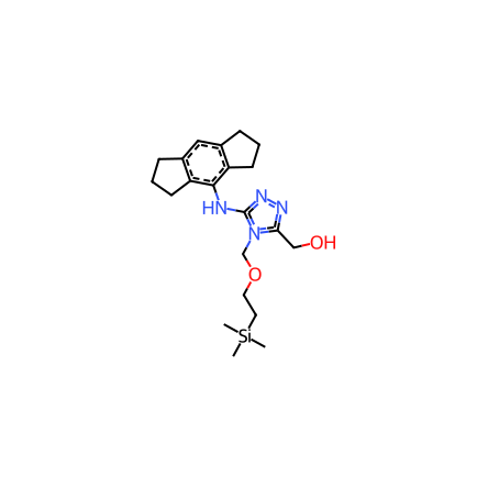 C[Si](C)(C)CCOCn1c(CO)nnc1Nc1c2c(cc3c1CCC3)CCC2